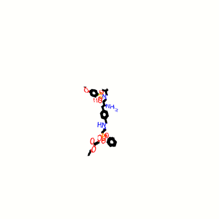 CCOC(=O)COP(=O)(CCNCc1ccc(C[C@H](N)[C@H](O)CN(CC(C)C)S(=O)(=O)c2ccc(OC)cc2)cc1)Oc1ccccc1